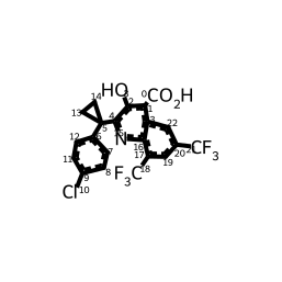 O=C(O)c1c(O)c(C2(c3ccc(Cl)cc3)CC2)nc2c(C(F)(F)F)cc(C(F)(F)F)cc12